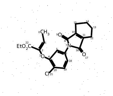 CC=C(Oc1cc(N2C(=O)C3=C(CCCC3)C2=O)ccc1Cl)C(=O)OCC